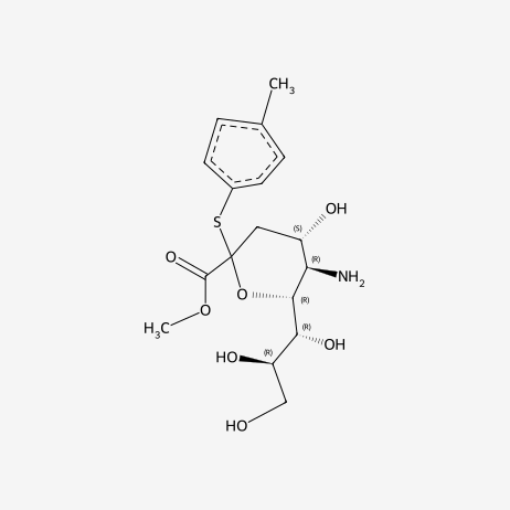 COC(=O)C1(Sc2ccc(C)cc2)C[C@H](O)[C@@H](N)[C@H]([C@H](O)[C@H](O)CO)O1